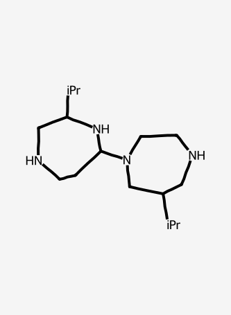 CC(C)C1CNCCN(C2CCNCC(C(C)C)N2)C1